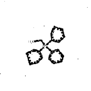 [CH2]C[PH](c1ccccc1)(c1ccccc1)c1ccccc1